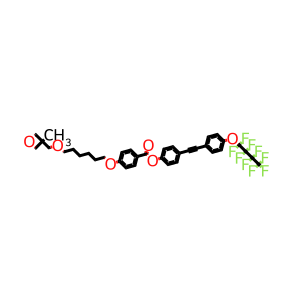 CC1(COCCCCCCOc2ccc(C(=O)Oc3ccc(C#Cc4ccc(OC(F)(F)C(F)(F)C(F)(F)C(F)(F)F)cc4)cc3)cc2)COC1